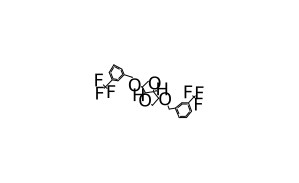 FC(F)(F)c1cccc(CO[C@H]2CO[C@H]3[C@@H]2OC[C@H]3OCc2cccc(C(F)(F)F)c2)c1